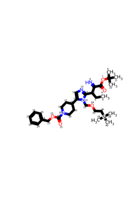 CCC(C(=N)C(=O)OC(C)(C)C)c1ncc(C2CCN(C(=O)OCc3ccccc3)CC2)n1COCC[Si](C)(C)C